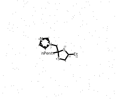 CCCCCC1(Cn2ccnc2)SCC(CC)S1